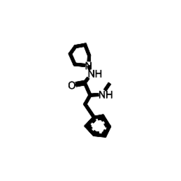 CNC(Cc1ccccc1)C(=O)NN1CCCCC1